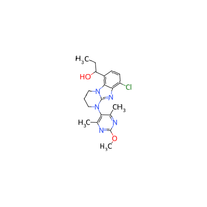 CCC(O)c1ccc(Cl)c2nc3n(c12)CCCN3c1c(C)nc(OC)nc1C